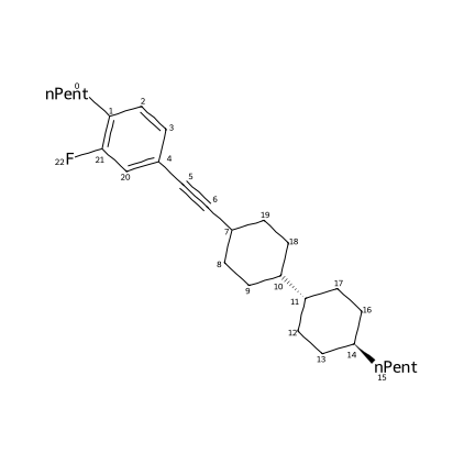 CCCCCc1ccc(C#CC2CCC([C@H]3CC[C@H](CCCCC)CC3)CC2)cc1F